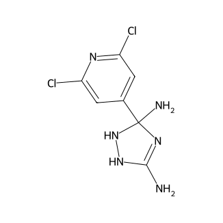 NC1=NC(N)(c2cc(Cl)nc(Cl)c2)NN1